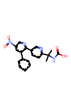 CC(C)(NC(=O)O)c1ccc(-c2ncc([N+](=O)[O-])cc2-c2ccccc2)cn1